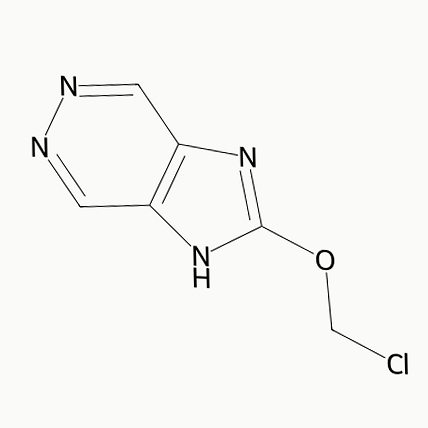 ClCOc1nc2cnncc2[nH]1